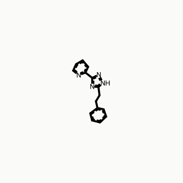 c1ccc(CCc2nc(-c3ccccn3)n[nH]2)cc1